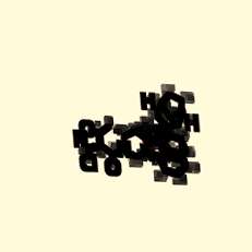 Cc1onc(Cl)c1C(=O)N1CCC(CCN2[C@@H]3CC[C@H]2C[C@@H](n2c(C)nc4ccccc42)C3)(c2ccccc2)CC1